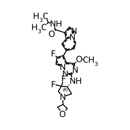 COc1nc(N[C@@H]2CN(C3COC3)CC2(F)F)nn2cc(F)c(-c3ccn4ncc(C(=O)NC(C)C)c4c3)c12